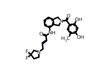 Cc1cc(C(=O)N2Cc3cccc(NC(=O)/C=C/CN4CCC(F)(F)C4)c3C2)c(O)cc1O